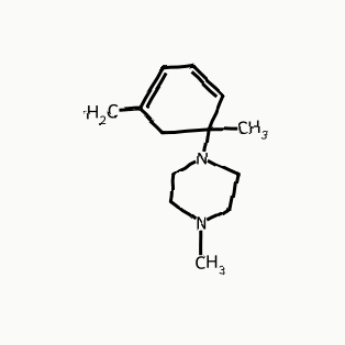 [CH2]C1=CC=CC(C)(N2CCN(C)CC2)C1